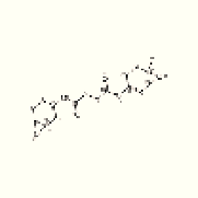 CC12CCC(OC(=O)CCC(=O)OC3=CC4OC4(C)CC3)=CC1O2